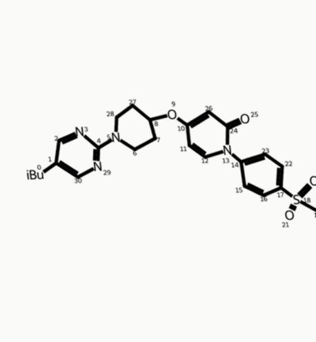 CCC(C)c1cnc(N2CCC(Oc3ccn(-c4ccc(S(C)(=O)=O)cc4)c(=O)c3)CC2)nc1